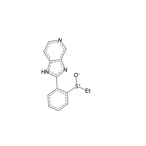 CC[S+]([O-])c1ccccc1-c1nc2cnccc2[nH]1